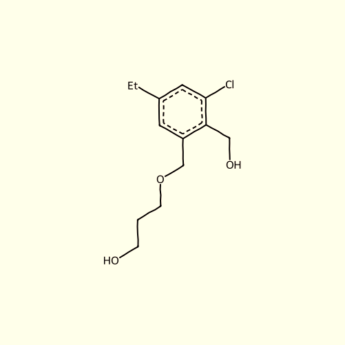 CCc1cc(Cl)c(CO)c(COCCCO)c1